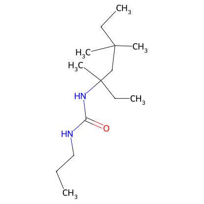 CCCNC(=O)NC(C)(CC)CC(C)(C)CC